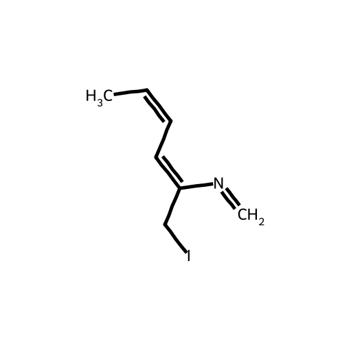 C=N/C(=C\C=C/C)CI